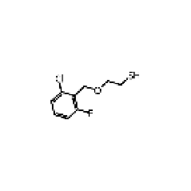 Fc1cccc(Cl)c1COCCS